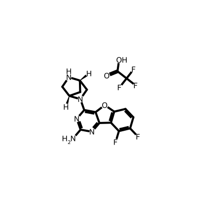 Nc1nc(N2C[C@@H]3C[C@H]2CN3)c2oc3ccc(F)c(F)c3c2n1.O=C(O)C(F)(F)F